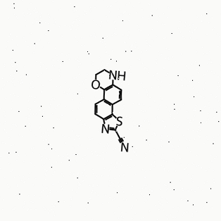 N#Cc1nc2ccc3c4c(ccc3c2s1)NCCO4